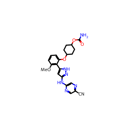 COc1cccc(OC2CCC(OC(N)=O)CC2)c1-c1cc(Nc2cnc(C#N)cn2)n[nH]1